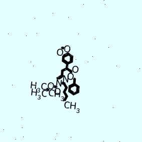 CCCCCc1nc(CC(C(=O)OCc2ccccc2)c2ccc3c(c2)OCO3)cn1C(=O)OC(C)(C)C